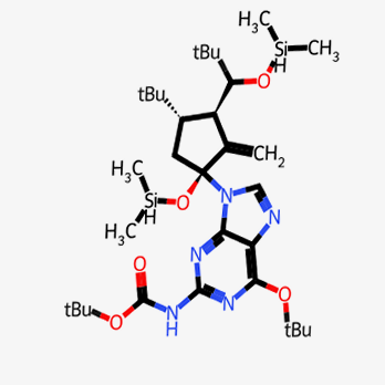 C=C1[C@H](C(O[SiH](C)C)C(C)(C)C)[C@@H](C(C)(C)C)C[C@@]1(O[SiH](C)C)n1cnc2c(OC(C)(C)C)nc(NC(=O)OC(C)(C)C)nc21